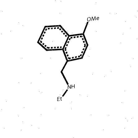 CCNCc1ccc(OC)c2ccccc12